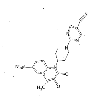 Cn1c(=O)c(=O)n(C2CCN(c3ncc(C#N)cn3)CC2)c2ccc(C#N)cc21